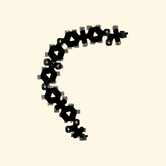 CC(C)(Br)C(=O)Oc1ccc(C(C)(C)c2ccc(Oc3ccc(S(=O)(=O)c4ccc(Oc5ccc(C(C)(C)c6ccc(OC(=O)C(C)(C)Br)cc6)cc5)cc4)cc3)cc2)cc1